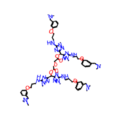 CN(C)Cc1cccc(OCCCNc2nc(C(OC(=O)COCC(=O)OC(c3nc(NCCCOc4cccc(CN(C)C)c4)n(C)n3)c3nc(NCCCOc4cccc(CN(C)C)c4)n(C)n3)c3nc(NCCCOc4cccc(CN(C)C)c4)n(C)n3)nn2C)c1